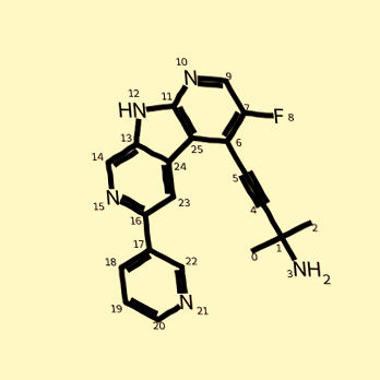 CC(C)(N)C#Cc1c(F)cnc2[nH]c3cnc(-c4cccnc4)cc3c12